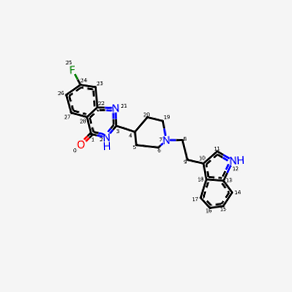 O=c1[nH]c(C2CCN(CCc3c[nH]c4ccccc34)CC2)nc2cc(F)ccc12